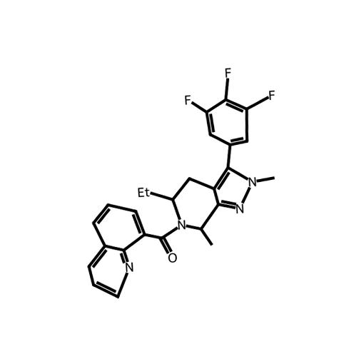 CCC1Cc2c(nn(C)c2-c2cc(F)c(F)c(F)c2)C(C)N1C(=O)c1cccc2cccnc12